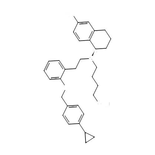 O=C(O)CCCCN(CCc1ccccc1OCc1ccc(C2CC2)cc1)[C@@H]1CCCc2cc(C(=O)O)ccc21